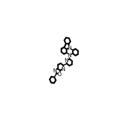 c1ccc(-c2nc3ccc(-c4cccc(N5c6ccccc6-n6c7ccccc7c7cccc5c76)n4)nc3o2)cc1